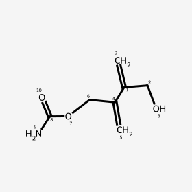 C=C(CO)C(=C)COC(N)=O